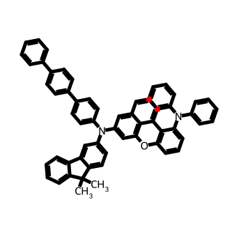 CC1(C)c2ccccc2-c2cc(N(c3ccc(-c4ccc(-c5ccccc5)cc4)cc3)c3cc4c5c(cccc5c3)-c3c(cccc3N(c3ccccc3)c3ccccc3)O4)ccc21